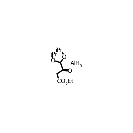 CCOC(=O)CC(=O)C(OC(C)C)OC(C)C.[AlH3]